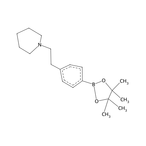 CC1(C)OB(c2ccc(CCN3CCCCC3)cc2)OC1(C)C